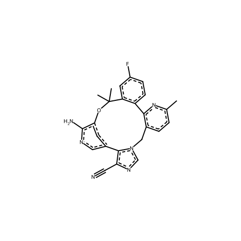 Cc1ccc2c(n1)-c1ccc(F)cc1C(C)(C)Oc1cc(cnc1N)-c1c(C#N)ncn1C2